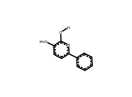 CCOc1nc(-c2ccccc2)ccc1OC